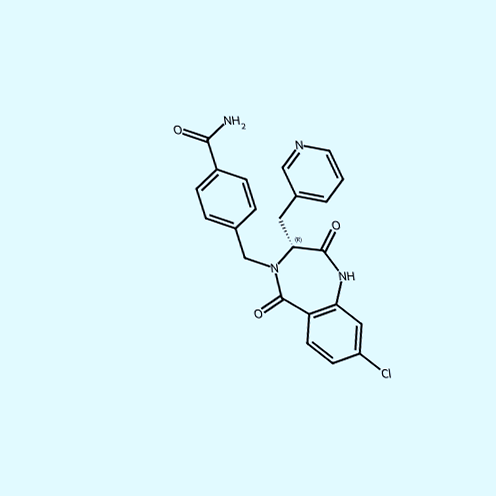 NC(=O)c1ccc(CN2C(=O)c3ccc(Cl)cc3NC(=O)[C@H]2Cc2cccnc2)cc1